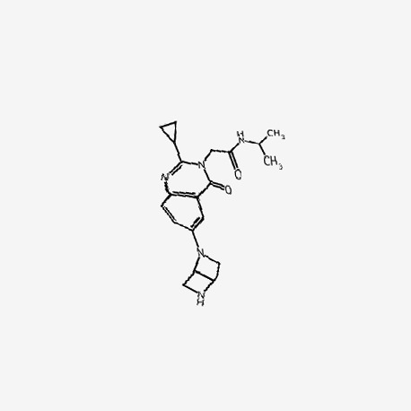 CC(C)NC(=O)Cn1c(C2CC2)nc2ccc(N3CC4NCC43)cc2c1=O